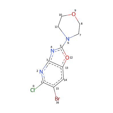 Clc1nc2nc(N3CCOCC3)oc2cc1Br